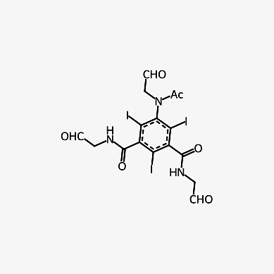 CC(=O)N(CC=O)c1c(I)c(C(=O)NCC=O)c(I)c(C(=O)NCC=O)c1I